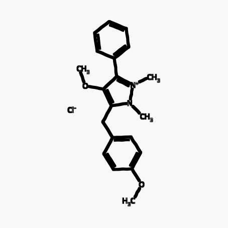 COc1ccc(Cc2c(OC)c(-c3ccccc3)[n+](C)n2C)cc1.[Cl-]